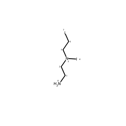 NCCN(I)CCI